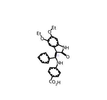 CCOc1cc2c(cc1OCC)/C(=C(/Nc1ccc(C(=O)O)cc1)c1ccccc1)C(=O)N2